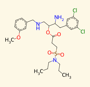 CCCN(CCC)S(=O)(=O)CCC(=O)OC(CNCc1cccc(OC)c1)C(N)Cc1cc(Cl)cc(Cl)c1